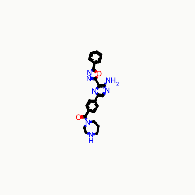 Nc1ncc(-c2ccc(C(=O)N3CCCNCC3)cc2)nc1-c1nnc(-c2ccccc2)o1